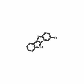 CCc1ccc2nc3c4ccccc4[nH]c3n2c1